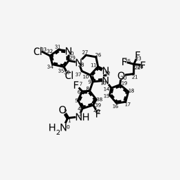 NC(=O)Nc1cc(F)c(-c2c3c(nn2-c2ccccc2OCC(F)(F)F)CCN(c2ncc(Cl)cc2Cl)C3)cc1F